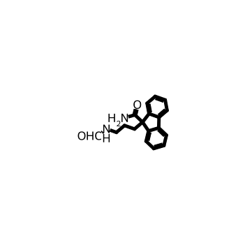 NC(=O)C1(CCCNC=O)c2ccccc2-c2ccccc21